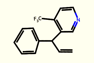 C=CC(c1ccccc1)c1cnccc1C(F)(F)F